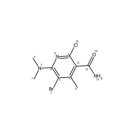 Cc1c(Br)c(N(C)C)nc(Cl)c1C(N)=O